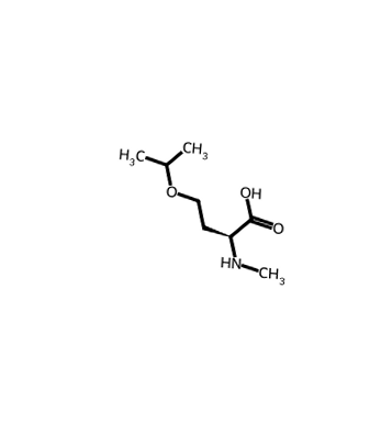 CN[C@@H](CCOC(C)C)C(=O)O